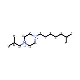 CC(C)CCCCCN1CCN(CC(C)C)CC1